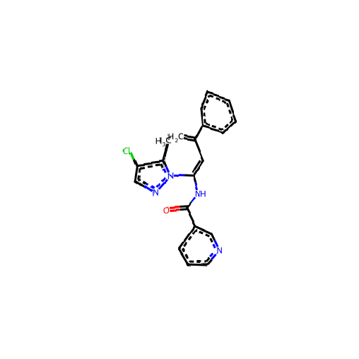 C=C(/C=C(/NC(=O)c1cccnc1)n1ncc(Cl)c1C)c1ccccc1